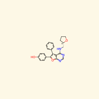 Oc1ccc(-c2oc3ncnc(NC[C@@H]4CCCO4)c3c2-c2ccccc2)cc1